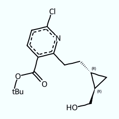 CC(C)(C)OC(=O)c1ccc(Cl)nc1CC[C@@H]1C[C@H]1CO